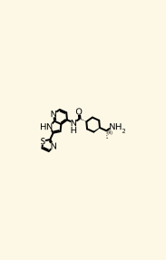 C[C@@H](N)[C@H]1CC[C@H](C(=O)Nc2ccnc3[nH]c(-c4nccs4)cc23)CC1